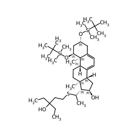 CCC(O)(CC)CCSC(C)[C@H]1[C@H](O)C[C@H]2C3=CC=C4C[C@@H](O[Si](C)(C)C(C)(C)C)C[C@H](O[Si](C)(C)C(C)(C)C)[C@]4(C)[C@H]3CC[C@@]21C